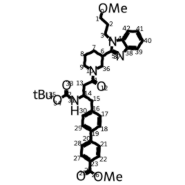 COCCCn1c(C2CCCN(C(=O)CC(Cc3ccc(-c4ccc(C(=O)OC)cc4)cc3)NC(=O)OC(C)(C)C)C2)nc2ccccc21